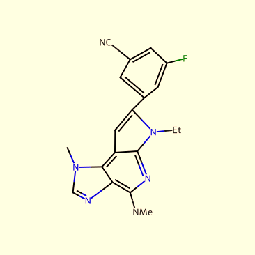 CCn1c(-c2cc(F)cc(C#N)c2)cc2c3c(ncn3C)c(NC)nc21